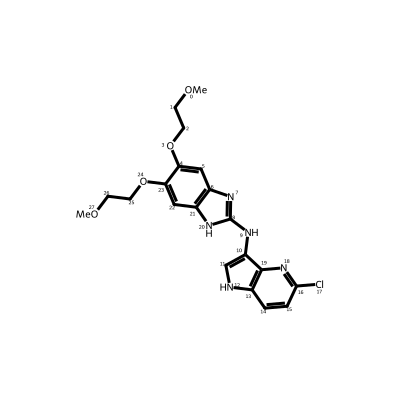 COCCOc1cc2nc(Nc3c[nH]c4ccc(Cl)nc34)[nH]c2cc1OCCOC